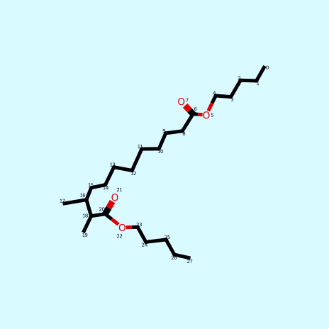 CCCCCOC(=O)CCCCCCCCC(C)C(C)C(=O)OCCCCC